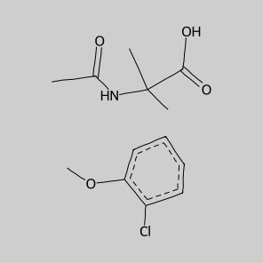 CC(=O)NC(C)(C)C(=O)O.COc1ccccc1Cl